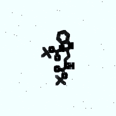 CC(C)(C)OC(=O)NCCc1nc2ccccc2n1C(=O)OC(C)(C)C